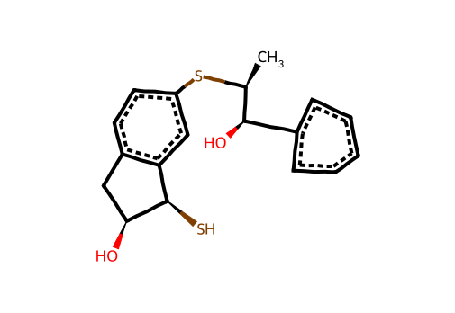 C[C@H](Sc1ccc2c(c1)[C@@H](S)[C@@H](O)C2)[C@H](O)c1ccccc1